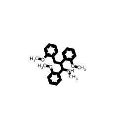 CNC(c1ccccc1OC)C(Cc1ccccc1OC)c1ccccc1OC